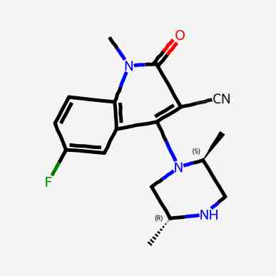 C[C@@H]1CN(c2c(C#N)c(=O)n(C)c3ccc(F)cc23)[C@@H](C)CN1